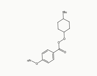 CCCOc1ccc(C(=O)OO[C]2CCC(C(C)(C)C)CC2)cc1